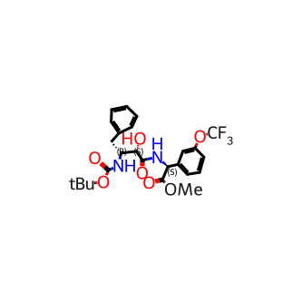 COC(=O)[C@@H](NC(=O)[C@@H](O)[C@@H](Cc1ccccc1)NC(=O)OC(C)(C)C)c1cccc(OC(F)(F)F)c1